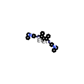 CCC1(CC)c2cc(/C=C/c3ccc(N4CCCc5ccccc54)cc3)c3ccccc3c2-c2c1cc(/C=C/c1ccc(N3CCCc4ccccc43)cc1)c1ccccc21